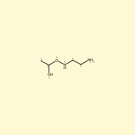 CC(O)ONCCN